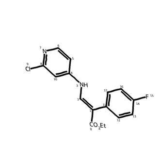 CCOC(=O)C(=CNc1ccnc(Cl)c1)c1ccc(F)cc1